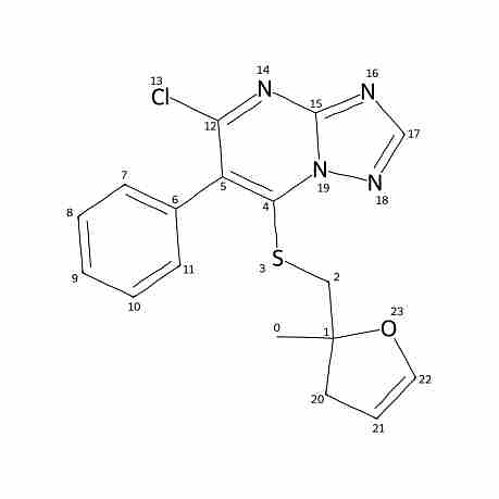 CC1(CSc2c(-c3ccccc3)c(Cl)nc3ncnn23)CC=CO1